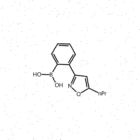 CCCc1cc(-c2ccccc2B(O)O)no1